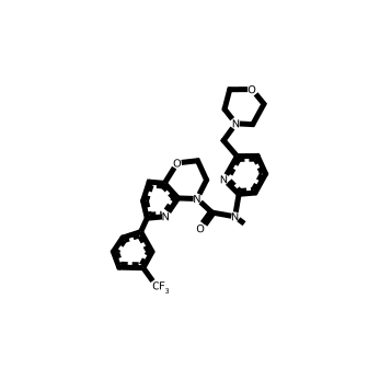 CN(C(=O)N1CCOc2ccc(-c3cccc(C(F)(F)F)c3)nc21)c1cccc(CN2CCOCC2)n1